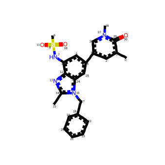 Cc1cc(-c2cc(NS(C)(=O)=O)c3nc(C)n(Cc4ccccc4)c3c2)cn(C)c1=O